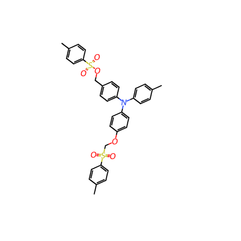 Cc1ccc(N(c2ccc(COS(=O)(=O)c3ccc(C)cc3)cc2)c2ccc(OCS(=O)(=O)c3ccc(C)cc3)cc2)cc1